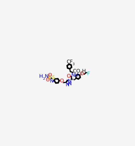 NS(=O)(=O)c1nc2ccc(OCc3cn([C@@H](Cc4ccc(OCCF)cc4)C(=O)NC(Cc4ccc(C(F)(F)F)cc4)C(=O)O)nn3)cc2s1